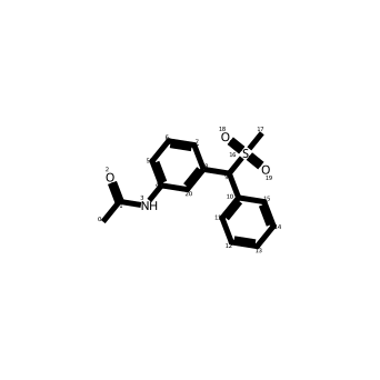 CC(=O)Nc1cc[c]c(C(c2ccccc2)S(C)(=O)=O)c1